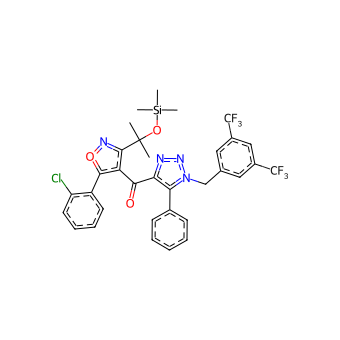 CC(C)(O[Si](C)(C)C)c1noc(-c2ccccc2Cl)c1C(=O)c1nnn(Cc2cc(C(F)(F)F)cc(C(F)(F)F)c2)c1-c1ccccc1